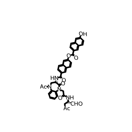 CC(=O)C[C@@H](C=O)NC(=O)CN1C(=O)[C@@H](NC(=O)c2ccc3cc(OC(=O)c4ccc5cc(O)ccc5c4)ccc3c2)CN(C(C)=O)c2ccccc21